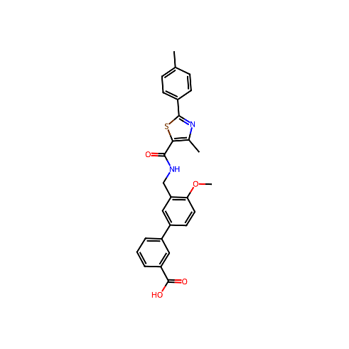 COc1ccc(-c2cccc(C(=O)O)c2)cc1CNC(=O)c1sc(-c2ccc(C)cc2)nc1C